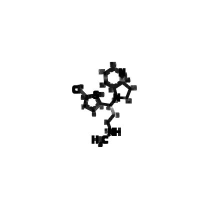 CNCC[C@H](c1ccc(Cl)s1)N1CCc2ncccc21